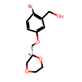 OCc1cc(OC[C@H]2COCCO2)ccc1Br